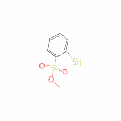 COS(=O)(=O)c1ccccc1S